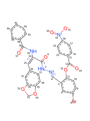 O=C(N/N=C/c1cc(Br)ccc1OC(=O)c1ccc([N+](=O)[O-])cc1)/C(=C\c1ccc2c(c1)OCO2)NC(=O)c1ccccc1